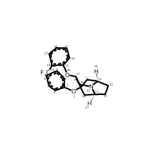 CC1(Oc2ccccc2)C[C@H]2CC[C@@H](C1)N2CCOc1ccccc1C(F)(F)F